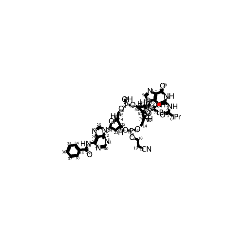 CC(C)C(=O)Nc1nc2c(ncn2[C@@H]2O[C@@H]3COP(OCCC#N)O[C@H]4C[C@H](n5cnc6c(NC(=O)c7ccccc7)ncnc65)O[C@@H]4COP(O)O[C@@H]2[C@@H]3O[Si](C)(C)C(C)(C)C)c(=O)[nH]1